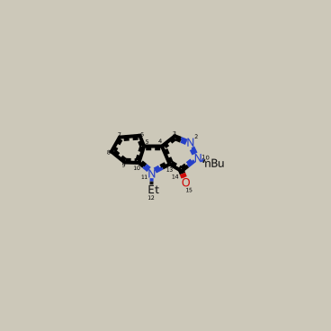 CCCCn1ncc2c3ccccc3n(CC)c2c1=O